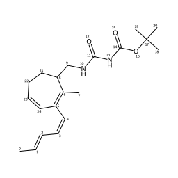 CC=C/C=C\C1=C(C)C(CNC(=O)NC(=O)OC(C)(C)C)CCC=C1